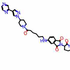 O=C1CCC(N2C(=O)c3ccc(NCCCCCC(=O)N4CCC(n5cc(-c6cnccn6)cn5)CC4)cc3C2=O)C(=O)N1